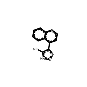 N#Cc1[nH]nnc1-c1ccnc2ccccc12